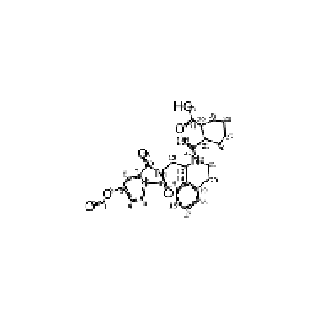 O=COc1ccc2c(c1)C(=O)N(CC1c3ccccc3CCN1C(=O)C1CCCCC1C(=O)O)C2=O